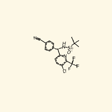 CC(C)(C)[S@@+]([O-])NC(c1ccc(C#N)cc1)c1ccc(Cl)c(C(F)(F)F)n1